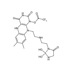 Cc1cc2c(cc1C)N(CCNCCN1C(=O)CNS1(O)O)c1c(c(=O)[nH]c(=O)n1OC(=O)C(F)(F)F)N2